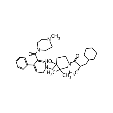 C[C@H](CC1CCCCC1)C(=O)N1CCC(O)(CN2C=C(C(=O)N3CCN(C)CC3)C(c3ccccc3)=CC2)C(C)(C)C1